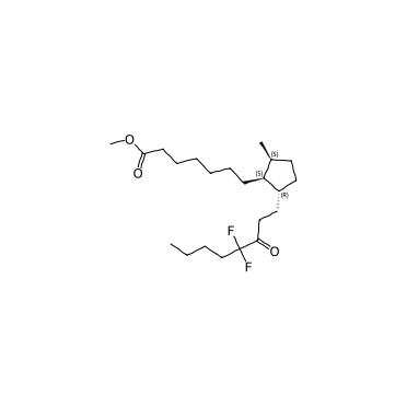 CCCCC(F)(F)C(=O)CC[C@H]1CC[C@H](C)[C@@H]1CCCCCCC(=O)OC